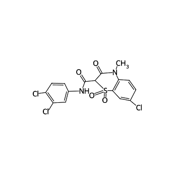 CN1C(=O)C(C(=O)Nc2ccc(Cl)c(Cl)c2)S(=O)(=O)c2cc(Cl)ccc21